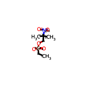 CCS(=O)(=O)OCC(C)(C)[N+](=O)[O-]